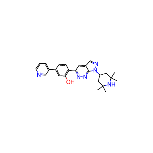 CC1(C)CC(n2ncc3cc(-c4ccc(-c5cccnc5)cc4O)nnc32)CC(C)(C)N1